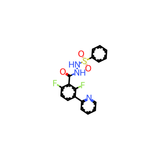 O=C(NNS(=O)(=O)c1ccccc1)c1c(F)ccc(-c2ccccn2)c1F